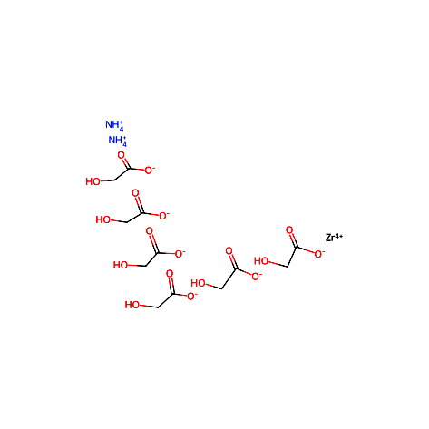 O=C([O-])CO.O=C([O-])CO.O=C([O-])CO.O=C([O-])CO.O=C([O-])CO.O=C([O-])CO.[NH4+].[NH4+].[Zr+4]